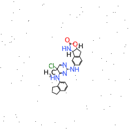 CC1(Cl)C=NC(Nc2ccc3c(c2)[C@H]2NC(=O)O[C@H]2C3)N=C1Nc1cccc2c1CCC2